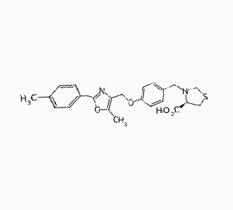 Cc1ccc(-c2nc(COc3ccc(CN4CSC[C@H]4C(=O)O)cc3)c(C)o2)cc1